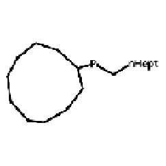 CCCCCCCC[P]C1CCCCCCCCC1